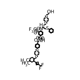 CC1(C)CCC(CN2CCN(c3ccc(C(=O)NS(=O)(=O)c4ccc(N[C@H](CCN5CCN(CCO)CC5)CSc5ccccc5)c(S(=O)(=O)C(F)(F)F)c4)cc3)CC2)=C(C23CC(C(F)F)(C2)C3)C1